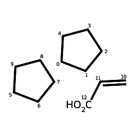 C1CCCC1.C1CCCC1.C=CC(=O)O